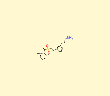 CC1CCCC(C)(C)C1C(C)S(=O)(=O)C=Cc1cccc(CCCN)c1